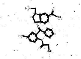 NCC(=O)Oc1ccc(N)cc1C(=O)c1ccccc1.NCC1CCc2ccc(C(N)=O)cc21